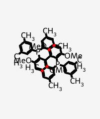 COc1ccc(OC)c(P(c2cc(C)cc(C)c2)c2cc(C)cc(C)c2)c1-c1c(OC)ccc(OC)c1P(c1cc(C)cc(C)c1)c1cc(C)cc(C)c1